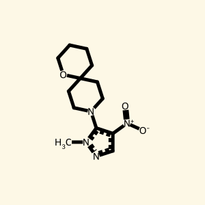 Cn1ncc([N+](=O)[O-])c1N1CCC2(CCCCO2)CC1